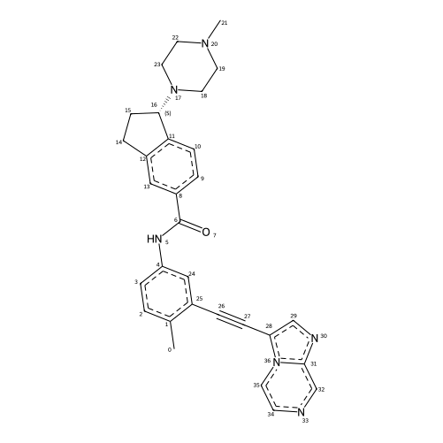 Cc1ccc(NC(=O)c2ccc3c(c2)CC[C@@H]3N2CCN(C)CC2)cc1C#Cc1cnc2cnccn12